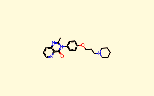 Cc1nc2cccnc2c(=O)n1-c1ccc(OCCCN2CCCCC2)cc1